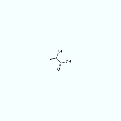 C[C@@H](S)C(=O)O